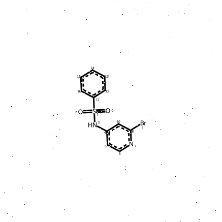 O=S(=O)(Nc1ccnc(Br)c1)c1ccccc1